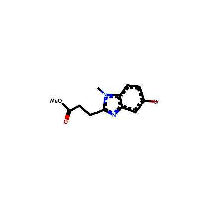 COC(=O)CCc1nc2cc(Br)ccc2n1C